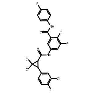 O=C(Nc1ccc(F)cc1)c1cc(NC(=O)C2C(c3ccc(F)c(Cl)c3)C2(Cl)Cl)cc(F)c1Cl